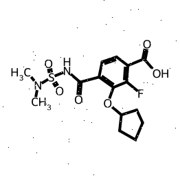 CN(C)S(=O)(=O)NC(=O)c1ccc(C(=O)O)c(F)c1OC1CCCC1